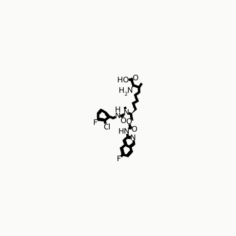 CC(CCCCC[C@@H](COC(=O)Nc1cc2cc(F)ccc2cn1)N(C)C(=O)NCc1cccc(F)c1Cl)[C@@H](N)C(=O)O